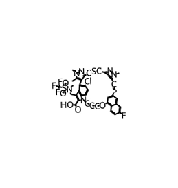 Cc1c2c(nn1C)CSCc1cc(n(C)n1)CSc1cc(c3ccc(F)cc3c1)OCCCn1c(C(=O)O)c(CN(C)S(=O)(=O)C(F)(F)F)c3c-2c(Cl)ccc31